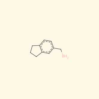 BCc1ccc2c(c1)CCC2